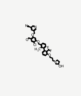 Cc1c(COc2cc(OCc3cncc(C#N)c3)c(C=O)cc2Cl)cccc1-c1cccc(OCCCN2CC[C@@H](O)C2)c1C(F)F